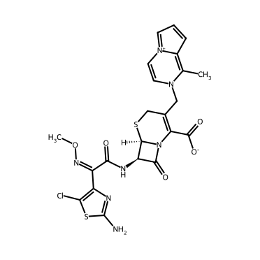 CO/N=C(\C(=O)N[C@@H]1C(=O)N2C(C(=O)[O-])=C(Cn3cc[n+]4cccc-4c3C)CS[C@H]12)c1nc(N)sc1Cl